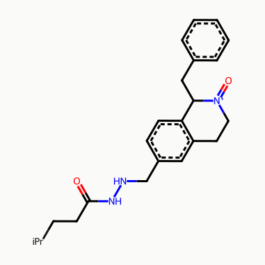 CC(C)CCC(=O)NNCc1ccc2c(c1)CC[N+](=O)C2Cc1ccccc1